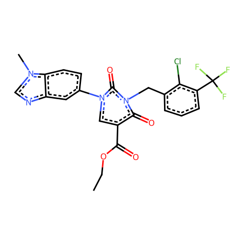 CCOC(=O)c1cn(-c2ccc3c(c2)ncn3C)c(=O)n(Cc2cccc(C(F)(F)F)c2Cl)c1=O